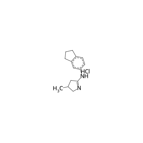 CC1CN=C(Nc2ccc3c(c2)CCC3)C1.Cl